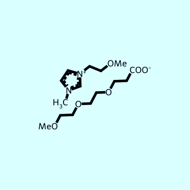 COCCOCCOCCC(=O)[O-].COCC[n+]1ccn(C)c1